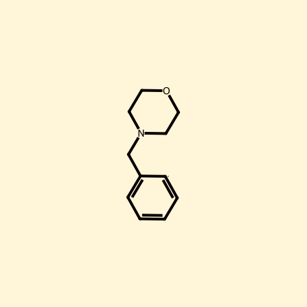 [c]1ccccc1CN1CCOCC1